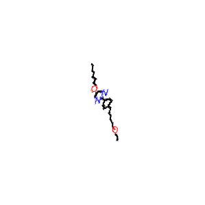 CCCCC/C=C/COc1cnc(-c2ccc(CCCCCCOCCC)cc2)nc1